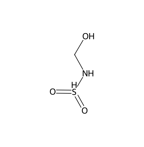 O=[SH](=O)NCO